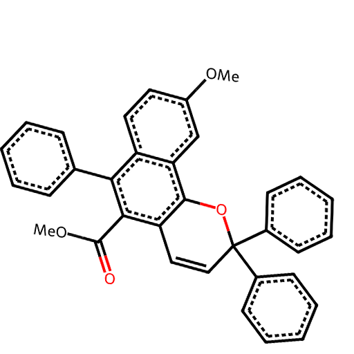 COC(=O)c1c2c(c3cc(OC)ccc3c1-c1ccccc1)OC(c1ccccc1)(c1ccccc1)C=C2